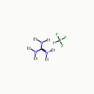 CCN(CC)C(N(CC)CC)=[N+](CC)CC.F[B-](F)(F)F